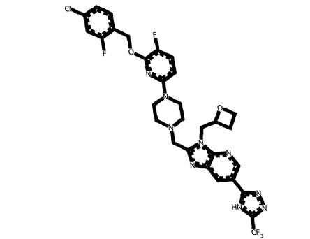 Fc1cc(Cl)ccc1COc1nc(N2CCN(Cc3nc4cc(-c5nnc(C(F)(F)F)[nH]5)cnc4n3CC3CCO3)CC2)ccc1F